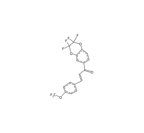 O=C(/C=C/c1ccc(OC(F)(F)F)cc1)c1ccc2c(c1)OC(F)(F)C(F)(F)O2